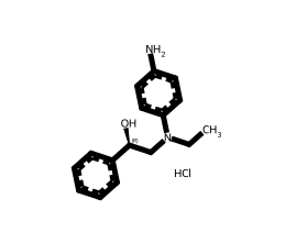 CCN(C[C@H](O)c1ccccc1)c1ccc(N)cc1.Cl